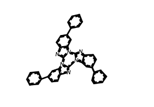 c1ccc(-c2ccc3nc4n(c3c2)c2nc3ccc(-c5ccccc5)cc3n2c2nc3ccc(-c5ccccc5)cc3n42)cc1